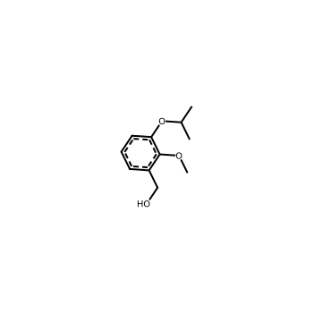 COc1c(CO)cccc1OC(C)C